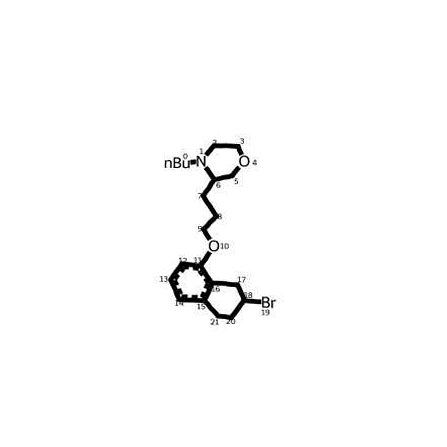 C[CH]CCN1CCOCC1CCCOc1cccc2c1CC(Br)CC2